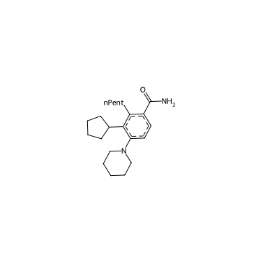 CCCCCc1c(C(N)=O)ccc(N2CCCCC2)c1C1CCCC1